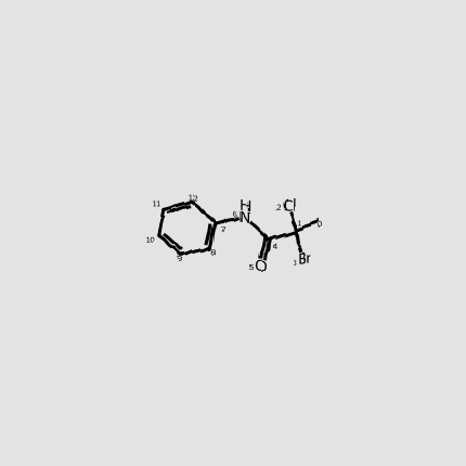 CC(Cl)(Br)C(=O)Nc1ccccc1